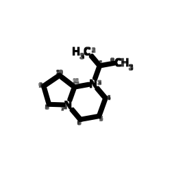 CC(C)N1CCCN2CCCC21